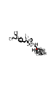 N[C@@H](Cc1ccc(N(CCCl)CCCl)cc1)C(=O)N1CCC[C@H]1C(=O)NCCCCC(O)(P(=O)(O)O)P(=O)(O)O